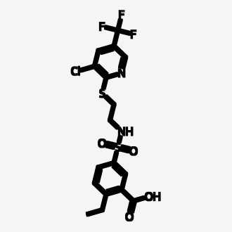 CCc1ccc(S(=O)(=O)NCCSc2ncc(C(F)(F)F)cc2Cl)cc1C(=O)O